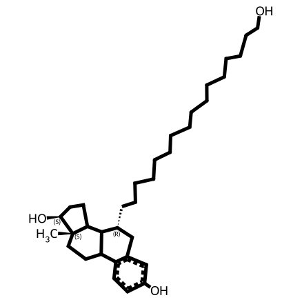 C[C@]12CCC3c4ccc(O)cc4C[C@@H](CCCCCCCCCCCCCCCCO)C3C1CC[C@@H]2O